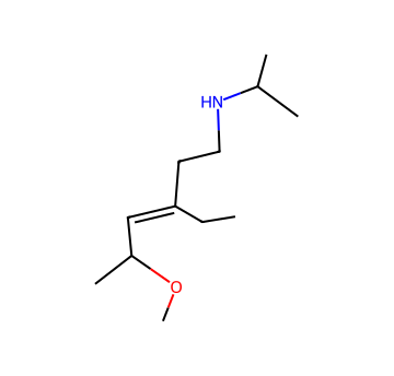 CC/C(=C\C(C)OC)CCNC(C)C